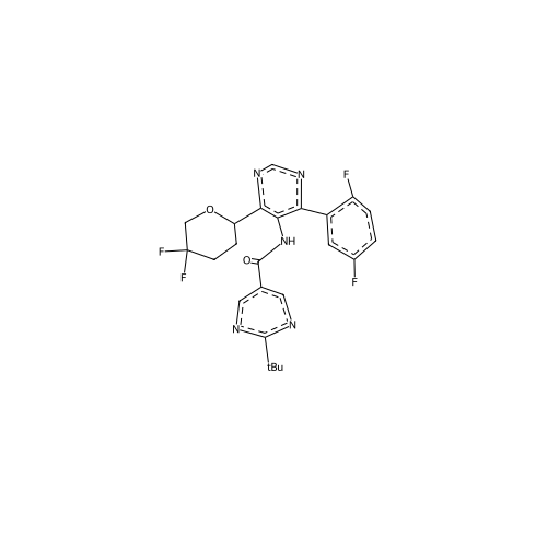 CC(C)(C)c1ncc(C(=O)Nc2c(-c3cc(F)ccc3F)ncnc2C2CCC(F)(F)CO2)cn1